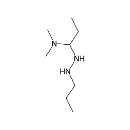 CCCNNC(CC)N(C)C